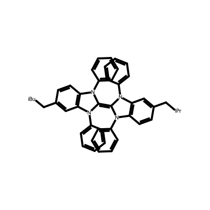 CCC(C)Cc1ccc2c(c1)N(c1ccccc1)/C(=C1\N(c3ccccc3)c3ccc(CC(C)C)cc3N1c1ccccc1)N2c1ccccc1